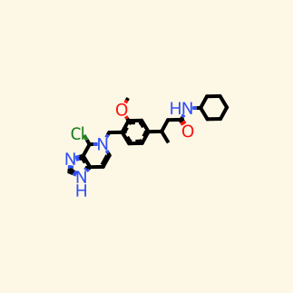 COc1cc(C(C)CC(=O)NC2CCCCC2)ccc1CN1C=Cc2[nH]cnc2C1Cl